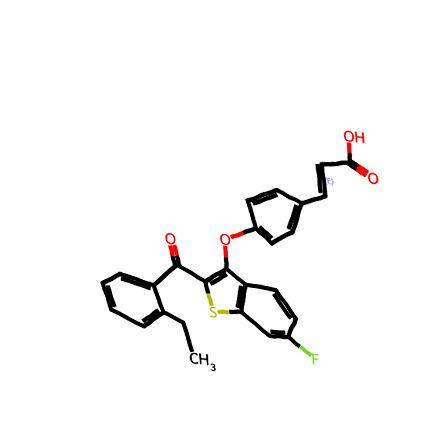 CCc1ccccc1C(=O)c1sc2cc(F)ccc2c1Oc1ccc(/C=C/C(=O)O)cc1